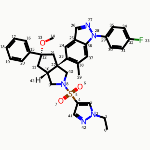 CCn1cc(S(=O)(=O)N2C[C@@H]3C[C@@](OC)(c4ccccc4)C[C@]3(c3cc4cnn(-c5ccc(F)cc5)c4cc3C)C2)cn1